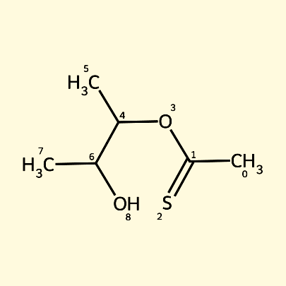 CC(=S)OC(C)C(C)O